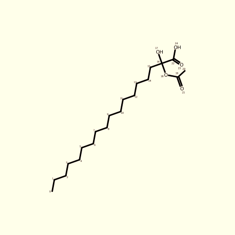 CCCCCCCCCCCCCCCCC(O)(OC(C)=O)C(=O)O